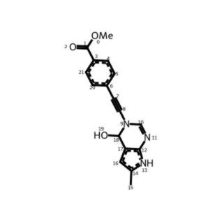 COC(=O)c1ccc(C#CN2C=Nc3[nH]c(C)cc3C2O)cc1